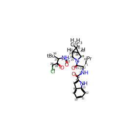 CC(C)C[C@H](NC(=O)c1cc2ccccc2[nH]1)C(=O)N1C[C@H]2[C@@H]([C@H]1C(=O)NC(C(=O)CCl)C(C)(C)C)C2(C)C